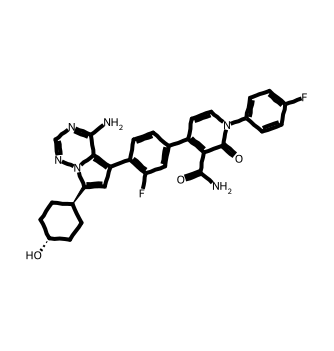 NC(=O)c1c(-c2ccc(-c3cc([C@H]4CC[C@H](O)CC4)n4ncnc(N)c34)c(F)c2)ccn(-c2ccc(F)cc2)c1=O